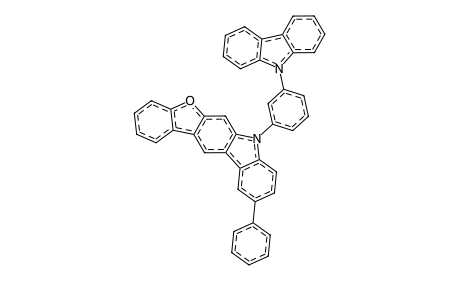 c1ccc(-c2ccc3c(c2)c2cc4c(cc2n3-c2cccc(-n3c5ccccc5c5ccccc53)c2)oc2ccccc24)cc1